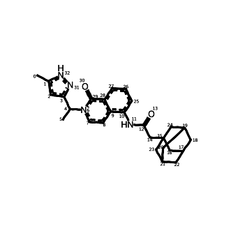 Cc1cc(C(C)n2ccc3c(NC(=O)CC45CC6CC(CC(C6)C4)C5)cccc3c2=O)n[nH]1